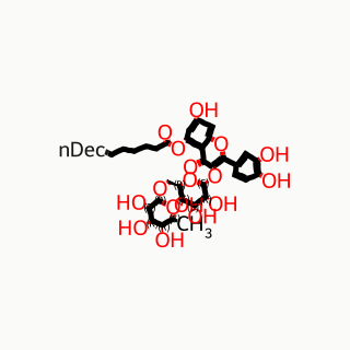 CCCCCCCCCCCCCCCC(=O)Oc1cc(O)cc2oc(-c3ccc(O)c(O)c3)c(O[C@@H]3O[C@H](CO[C@@H]4O[C@@H](C)[C@H](O)[C@@H](O)[C@H]4O)[C@@H](O)[C@H](O)[C@H]3O)c(=O)c12